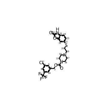 O=C(OCc1cc(Cl)cc(C(F)(F)F)c1)N1CCN(CCSc2ccc3[nH]c(=O)oc3c2)CC1